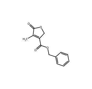 CC1=C(C(=O)OCc2ccccc2)COC1=O